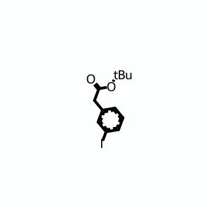 CC(C)(C)OC(=O)Cc1cccc(I)c1